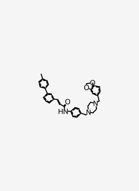 Cc1ccc(-c2cccc(/C=C/C(=O)Nc3ccc(CN4CCN(Cc5ccc6c(c5)OCO6)CC4)cc3)c2)cc1